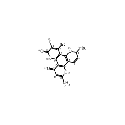 CCCCC1C=[C]c2c(c3c(CC)c(F)c(=O)oc3c3c(=O)cc(C)oc23)O1